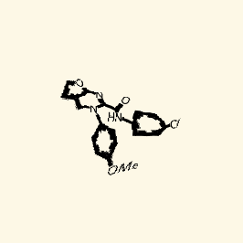 COc1ccc(N2Cc3ccoc3N=C2C(=O)Nc2ccc(Cl)cc2)cc1